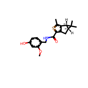 COc1cc(O)ccc1CNC(=O)c1sc(C)c2c1C[C@@H]1[C@H]2C1(C)C